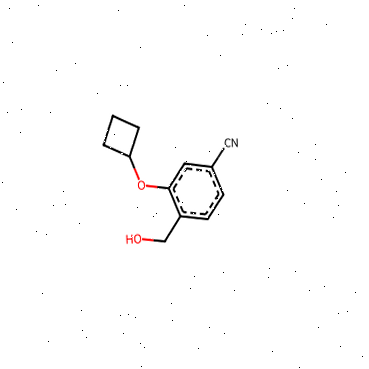 N#Cc1ccc(CO)c(OC2CCC2)c1